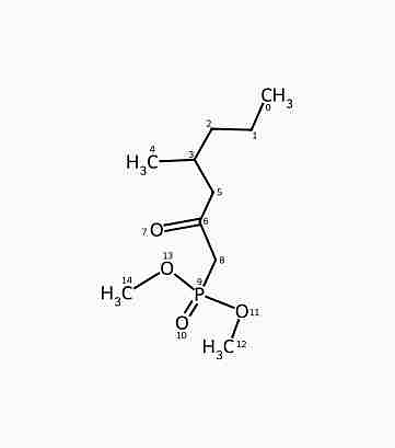 CCCC(C)CC(=O)CP(=O)(OC)OC